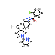 CC1=C(c2ccc(NC(=O)c3ccccc3F)cc2)CN(c2ccccn2)CC1